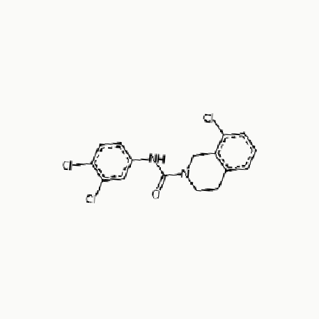 O=C(Nc1ccc(Cl)c(Cl)c1)N1CCc2cccc(Cl)c2C1